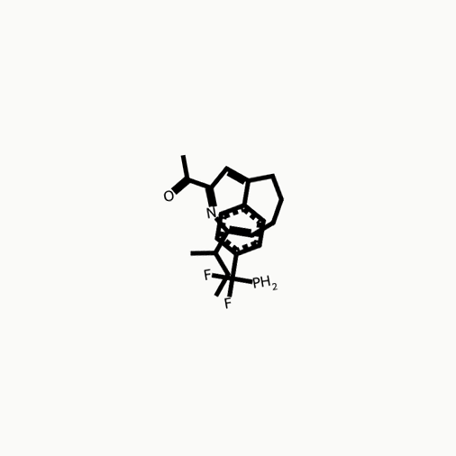 CCC(C)C1=C/CCC/C(c2ccc(C(F)(F)P)cc2)=C/C(C(C)=O)=N\1